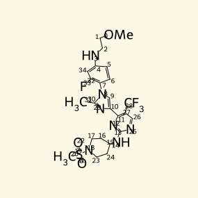 COCCNc1ccc(-n2cc(-c3nc(NC4CCN(S(C)(=O)=O)CC4)ncc3C(F)(F)F)nc2C)c(F)c1